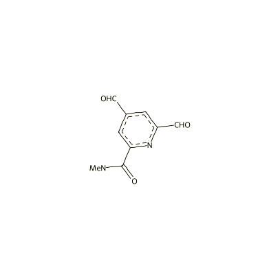 CNC(=O)c1cc(C=O)cc(C=O)n1